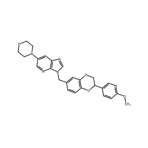 COc1ccc(C2COc3cc(Cn4cnc5cc(N6CCOCC6)cnc54)ccc3O2)cn1